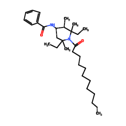 CCCCCCCCCCCC(=O)N1C(C)(CC)CC(NC(=O)c2ccccc2)C(C)C1(C)CC